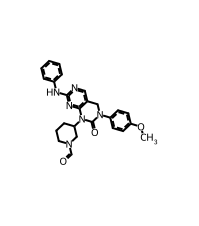 COc1ccc(N2Cc3cnc(Nc4ccccc4)nc3N(C3CCCN(C=O)C3)C2=O)cc1